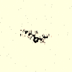 CCC(=O)NC(C)(C)c1cccc(C(C)(C)NC(=O)OC(C)C)c1